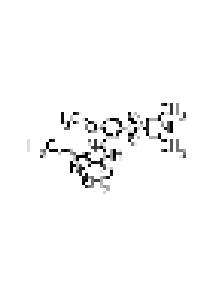 CCCc1nn(C)c2c(=O)[nH]c(-c3cc(S(=O)(=O)N4CC(C)NC(C)C4)ccc3OCC)nc12